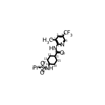 Cc1cc(C(F)(F)F)cnc1NC(=O)C1CCC(NS(=O)(=O)C(C)C)CC1